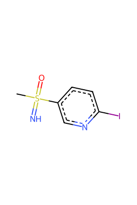 CS(=N)(=O)c1ccc(I)nc1